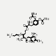 C=CCSSC(CCOC(=O)C(N)Cc1ccc(OC(=O)C(C)(C)C)c(OC(=O)C(C)(C)C)c1)=C(C)N(C=O)Cc1cnc(C)nc1N